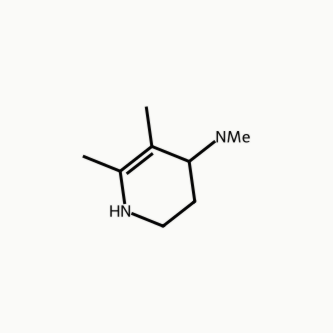 CNC1CCNC(C)=C1C